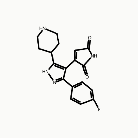 O=C1C=C(c2c(-c3ccc(F)cc3)n[nH]c2C2CCNCC2)C(=O)N1